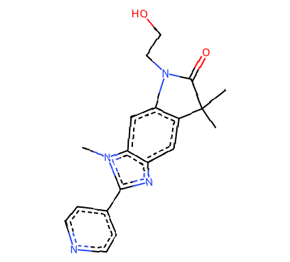 Cn1c(-c2ccncc2)nc2cc3c(cc21)N(CCO)C(=O)C3(C)C